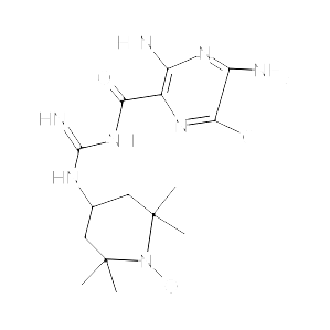 CC1(C)CC(NC(=N)NC(=O)c2nc(Cl)c(N)nc2N)CC(C)(C)N1[O]